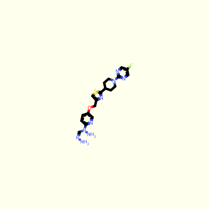 N/N=C\N(N)c1ccc(OCc2csc(C3CCN(c4ncc(F)cn4)CC3)n2)cn1